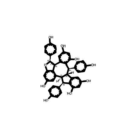 Oc1ccc([C@@H]2c3c(O)cc(O)cc3[C@H]3[C@H](c4ccc(O)cc4)c4c(O)cc(O)cc4[C@@H]4c5c(cc(O)cc5[C@H]23)O[C@H]4c2ccc(O)cc2)cc1